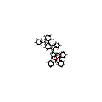 C1=C(c2cccc3c4ccccc4n(-c4ccccc4)c23)/N=C(n2c3ccccc3c3c4c5ccccc5n(-c5ccccc5)c4ccc32)\N=C(\c2ccccc2)[C@@H]2CC/12